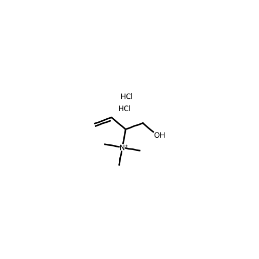 C=CC(CO)[N+](C)(C)C.Cl.Cl